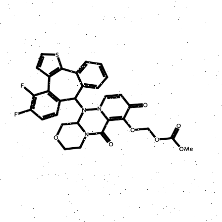 COC(=O)OCOc1c2n(ccc1=O)N(C1c3ccccc3-c3sccc3-c3c1ccc(F)c3F)C1COCCN1C2=O